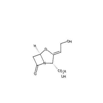 O=C(O)[C@H]1/C(=C/CO)O[C@@H]2CC(=O)N21.[LiH]